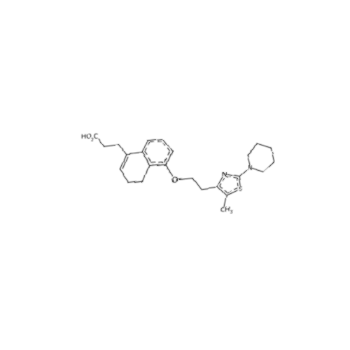 Cc1sc(N2CCCCC2)nc1CCOc1cccc2c1CCC=C2CCC(=O)O